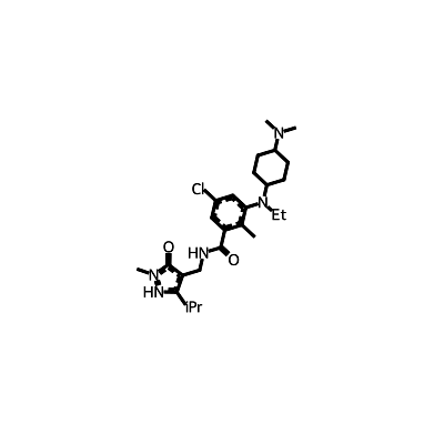 CCN(c1cc(Cl)cc(C(=O)NCc2c(C(C)C)[nH]n(C)c2=O)c1C)C1CCC(N(C)C)CC1